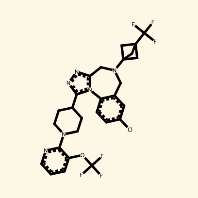 FC(F)(F)Oc1cccnc1N1CCC(c2nnc3n2-c2ccc(Cl)cc2CN(C24CC(C(F)(F)F)(C2)C4)C3)CC1